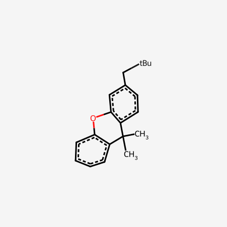 CC(C)(C)Cc1ccc2c(c1)Oc1ccccc1C2(C)C